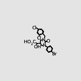 O=C(O)C(O)C1CN(Cc2ccc(Cl)cc2Cl)C(=O)N(c2ccc(Br)cc2)C1